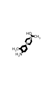 Cc1cc(N2CCN(C(C)O)CC2)ccc1N